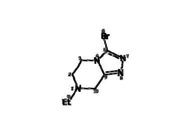 CCN1CCn2c(Br)nnc2C1